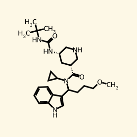 COCCCC(c1c[nH]c2ccccc12)N(C(=O)[C@H]1CNC[C@@H](NC(=O)NC(C)(C)C)C1)C1CC1